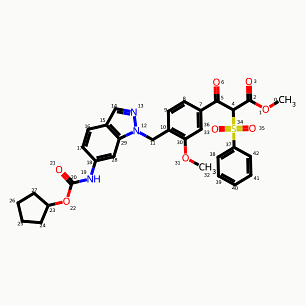 COC(=O)C(C(=O)c1ccc(Cn2ncc3ccc(NC(=O)OC4CCCC4)cc32)c(OC)c1)S(=O)(=O)c1ccccc1